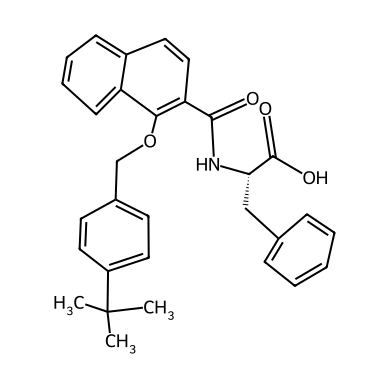 CC(C)(C)c1ccc(COc2c(C(=O)N[C@@H](Cc3ccccc3)C(=O)O)ccc3ccccc23)cc1